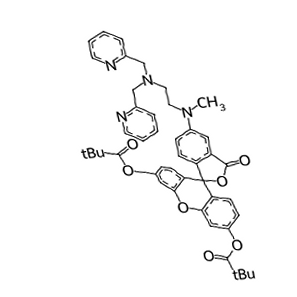 CN(CCN(Cc1ccccn1)Cc1ccccn1)c1ccc2c(c1)C(=O)OC21c2ccc(OC(=O)C(C)(C)C)cc2Oc2cc(OC(=O)C(C)(C)C)ccc21